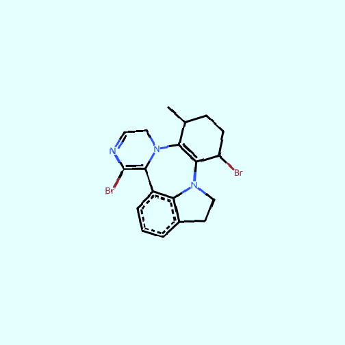 CC1CCC(Br)C2=C1N1CC=NC(Br)=C1c1cccc3c1N2CC3